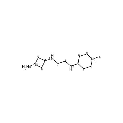 CN1CCC(NCCNC2CN(N)C2)CC1